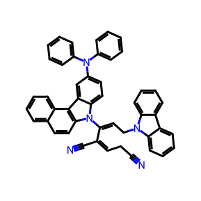 N#CC/C=C(C#N)\C(=C/Cn1c2ccccc2c2ccccc21)n1c2ccc(N(c3ccccc3)c3ccccc3)cc2c2c3ccccc3ccc21